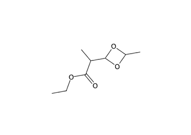 CCOC(=O)C(C)C1OC(C)O1